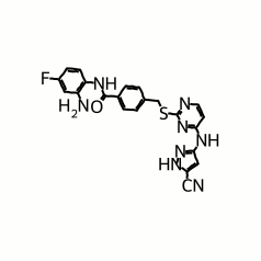 N#Cc1cc(Nc2ccnc(SCc3ccc(C(=O)Nc4ccc(F)cc4N)cc3)n2)n[nH]1